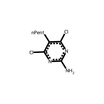 CCCCCc1c(Cl)nc(N)nc1Cl